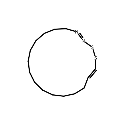 C1=C/SS/N=N/CCCCCCCCCCCCC/1